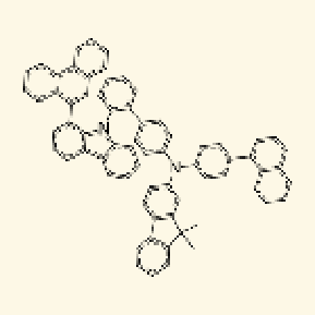 CC1(C)c2ccccc2-c2ccc(N(c3ccc(-c4ccccc4-n4c5ccccc5c5cccc(-c6cc7ccccc7c7ccccc67)c54)cc3)c3ccc(-c4cccc5ccccc45)cc3)cc21